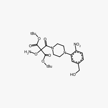 CC(C)(C)OC(=O)C(ON)(C(=O)OC(C)(C)C)C(=O)N1CCN(c2cc(CO)ccc2[N+](=O)[O-])CC1